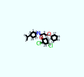 CC(C)c1ccc(N=C(C=COc2ccccc2)Oc2ccc(Cl)cc2Cl)cc1